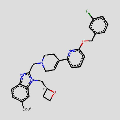 O=C(O)c1ccc2nc(CN3CC=C(c4cccc(OCc5cccc(F)c5)n4)CC3)n(C[C@@H]3CCO3)c2c1